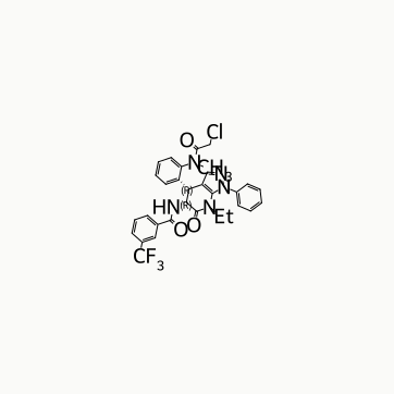 CCN1C(=O)[C@H](NC(=O)c2cccc(C(F)(F)F)c2)[C@H](c2ccccc2N(C)C(=O)CCl)c2cnn(-c3ccccc3)c21